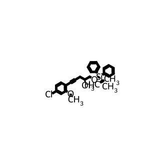 COc1cc(Cl)ccc1C#CC[C@H](O)CO[Si](c1ccccc1)(c1ccccc1)C(C)(C)C